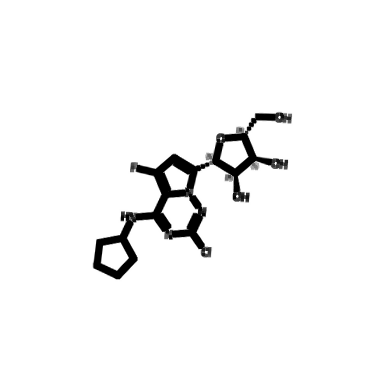 OC[C@H]1O[C@@H](c2cc(F)c3c(NC4CCCC4)nc(Cl)nn23)[C@H](O)[C@@H]1O